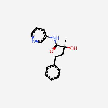 C[C@](O)(CCc1ccccc1)C(=O)Nc1cccnc1